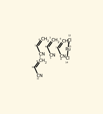 C=CC#N.C=CC#N.C=CC#N.C=CC#N.[Cl][Ru][Cl]